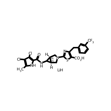 Cc1[nH]c(C(=O)NC2[C@H]3CN(c4nc(Cc5cccc(C(F)(F)F)c5)c(C(=O)O)s4)C[C@@H]23)c(Cl)c1Cl.[LiH]